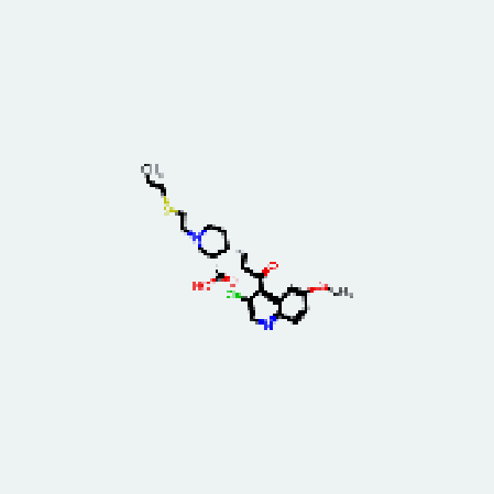 CCCSCCN1CC[C@H](CCC(=O)c2c(Cl)cnc3ccc(OC)cc23)[C@H](C(=O)O)C1